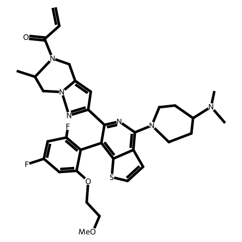 C=CC(=O)N1Cc2cc(-c3nc(N4CCC(N(C)C)CC4)c4ccsc4c3-c3c(F)cc(F)cc3OCCOC)nn2CC1C